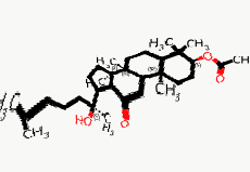 CC(=O)O[C@H]1CC[C@@]2(C)C(CC[C@]3(C)C2CC(=O)C2C([C@@](C)(O)CCC=C(C)C)CC[C@]23C)C1(C)C